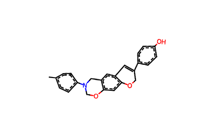 Cc1ccc(N2COc3cc4c(cc3C2)C=C(c2ccc(O)cc2)CO4)cc1